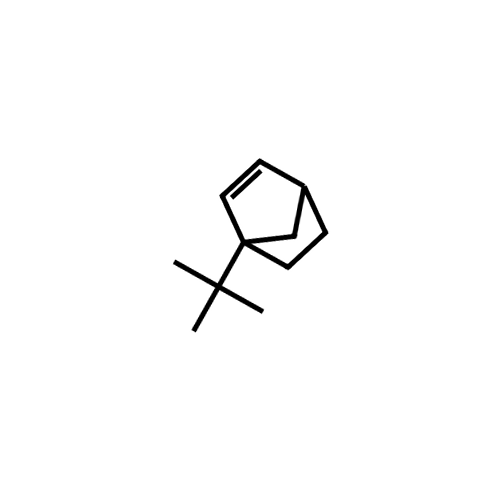 CC(C)(C)C12C=CC(CC1)C2